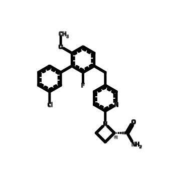 COc1ccc(Cc2ccc(N3CC[C@H]3C(N)=O)nc2)c(F)c1-c1cccc(Cl)c1